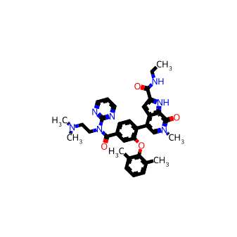 CCNC(=O)c1cc2c(-c3ccc(C(=O)N(CCN(C)C)c4ncccn4)cc3Oc3c(C)cccc3C)cn(C)c(=O)c2[nH]1